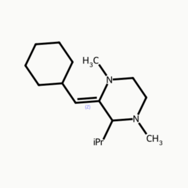 CC(C)C1/C(=C/C2CCCCC2)N(C)CCN1C